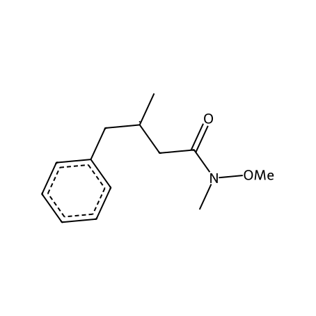 CON(C)C(=O)C[C](C)Cc1ccccc1